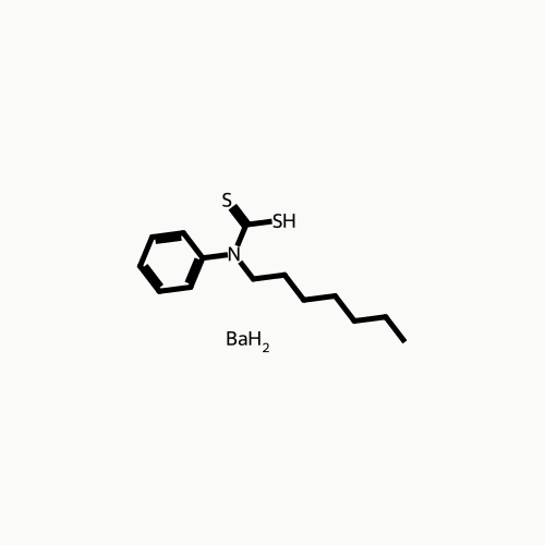 CCCCCCCN(C(=S)S)c1ccccc1.[BaH2]